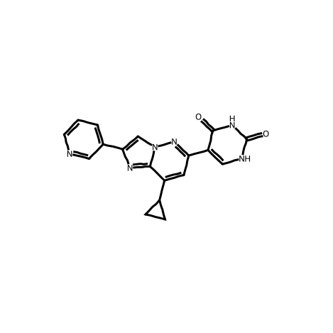 O=c1[nH]cc(-c2cc(C3CC3)c3nc(-c4cccnc4)cn3n2)c(=O)[nH]1